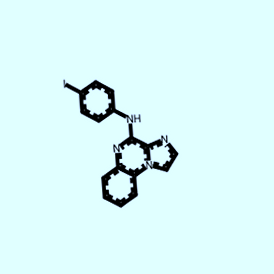 Ic1ccc(Nc2nc3ccccc3n3ccnc23)cc1